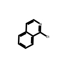 CCc1nccc2ccccc12